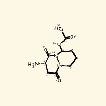 N[C@H]1CC(=O)N2CCCC(OC(=O)O)N2C1=O